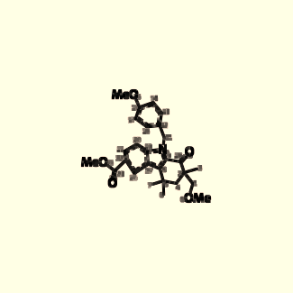 COCC1(C)CC(C)(C)c2c(n(Cc3ccc(OC)cc3)c3ccc(C(=O)OC)cc23)C1=O